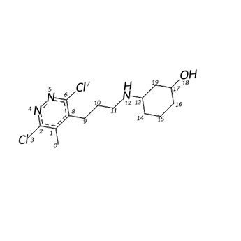 Cc1c(Cl)nnc(Cl)c1CCCNC1CCCC(O)C1